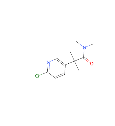 CN(C)C(=O)C(C)(C)c1ccc(Cl)nc1